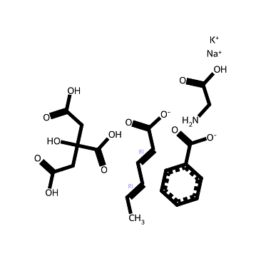 C/C=C/C=C/C(=O)[O-].NCC(=O)O.O=C(O)CC(O)(CC(=O)O)C(=O)O.O=C([O-])c1ccccc1.[K+].[Na+]